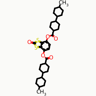 CC1CCC(C2CCC(C(=O)Oc3ccc(OC(=O)C4CCC(C5CCC(C)CC5)CC4)c4sc(=O)sc34)CC2)CC1